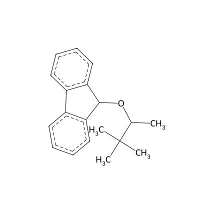 CC(OC1c2ccccc2-c2ccccc21)C(C)(C)C